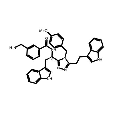 COc1ccc(Cn2c(CCc3c[nH]c4ccccc34)nnc2[C@@H](Cc2c[nH]c3ccccc23)NC(=O)c2cccc(CN)c2)cc1